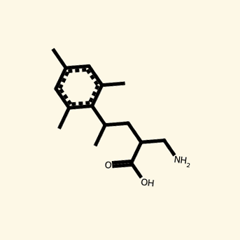 Cc1cc(C)c(C(C)CC(CN)C(=O)O)c(C)c1